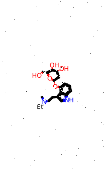 CCN(C)CCc1c[nH]c2cccc(O[C@H]3C[C@@H](O)[C@H](O)[C@@H](CO)O3)c12